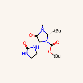 CN1C(=O)CN(C(=O)OC(C)(C)C)[C@H]1C(C)(C)C.O=C1NCCN1